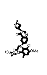 COc1cc(C)c(Cl)c(N(CCO[Si](C)(C)C(C)(C)C)c2ccc3ncn(-c4cnn(C)c4)c(=O)c3c2)c1Cl